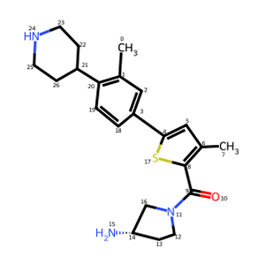 Cc1cc(-c2cc(C)c(C(=O)N3CC[C@H](N)C3)s2)ccc1C1CCNCC1